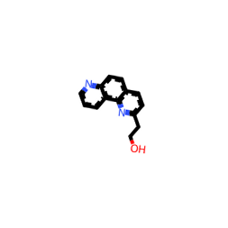 OCCc1ccc2ccc3ncccc3c2n1